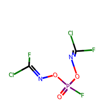 O=P(F)(O/N=C(\F)Cl)O/N=C(\F)Cl